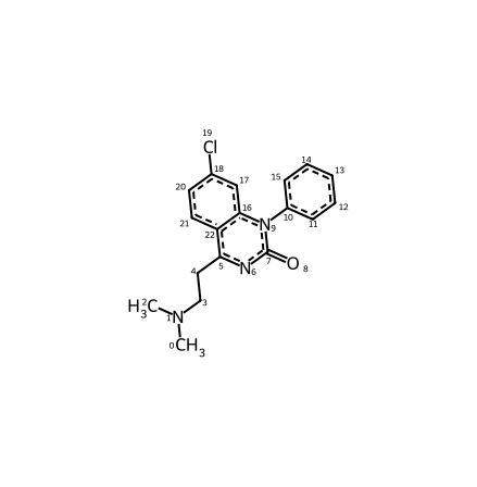 CN(C)CCc1nc(=O)n(-c2ccccc2)c2cc(Cl)ccc12